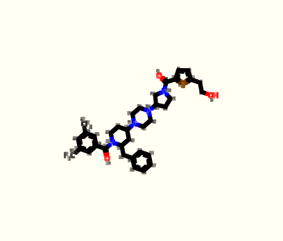 O=C(c1ccc(CCO)s1)N1CCC(N2CCN(C3CCN(C(=O)c4cc(C(F)(F)F)cc(C(F)(F)F)c4)C(Cc4ccccc4)C3)CC2)C1